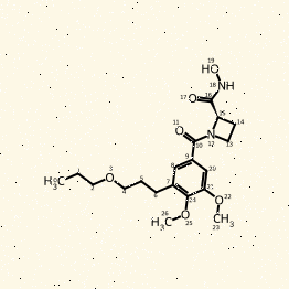 CCCOCCCc1cc(C(=O)N2CC[C@@H]2C(=O)NO)cc(OC)c1OC